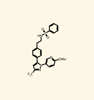 COc1ccc(-n2nc(C(F)(F)F)cc2-c2ccc(CCNS(=O)(=O)c3ccccc3)cc2)cn1